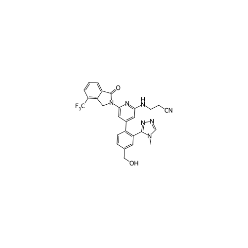 Cn1cnnc1-c1cc(CO)ccc1-c1cc(NCCC#N)nc(N2Cc3c(cccc3C(F)(F)F)C2=O)c1